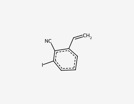 C=Cc1cccc(I)c1C#N